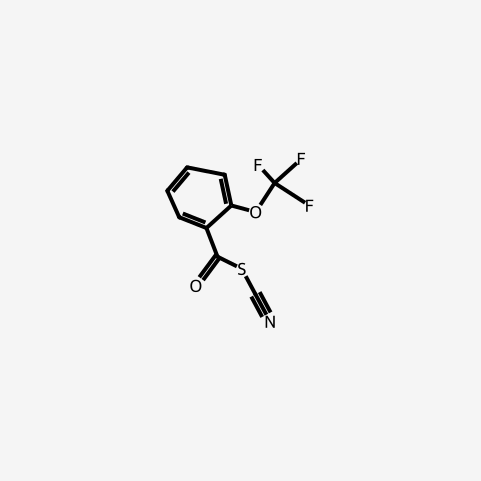 N#CSC(=O)c1ccccc1OC(F)(F)F